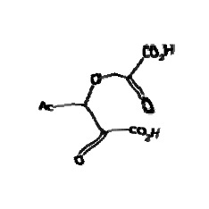 CC(=O)C(OC(=O)C(=O)O)C(=O)C(=O)O